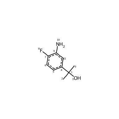 CC(C)(O)c1ccc(F)c(N)c1